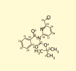 CC(C)(C)OC(=O)N(C(=O)c1ccccc1)c1cccc(CCl)n1